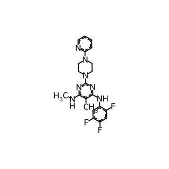 CNc1nc(N2CCN(c3ccccn3)CC2)nc(Nc2cc(F)c(F)cc2F)c1C